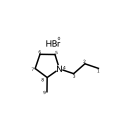 Br.CCCN1CCCC1C